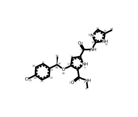 CNC(=O)c1[nH]c(C(=O)Nc2ncc(C)[nH]2)cc1O[C@H](C)c1ccc(Cl)cc1